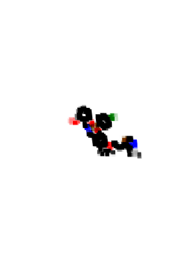 COc1cc(CN(C[C@H]2CCCC[C@@H]2O)S(=O)(=O)c2ccc(Cl)cc2)ccc1OCCc1scnc1C